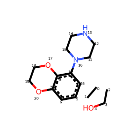 CC.CCO.c1cc2c(c(N3CCNCC3)c1)OCCO2